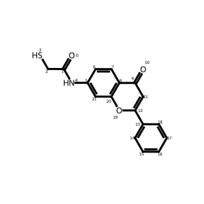 O=C(CS)Nc1ccc2c(=O)cc(-c3ccccc3)oc2c1